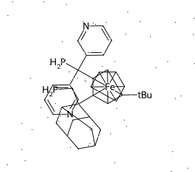 CC(C)(C)[C]12[CH]3[C]4(C(P)(c5cccnc5)c5cccnc5)[C]5(C6(CP)C7CC8CC(C7)CC6C8)[CH]1[Fe]32451678[CH]2[CH]1[CH]6[CH]7[CH]28